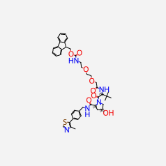 Cc1ncsc1-c1ccc(CNC(=O)[C@@H]2C[C@@H](O)CN2C(=O)[C@@H](NC(=O)COCCOCCNC(=O)OCC2c3ccccc3-c3ccccc32)C(C)(C)C)cc1